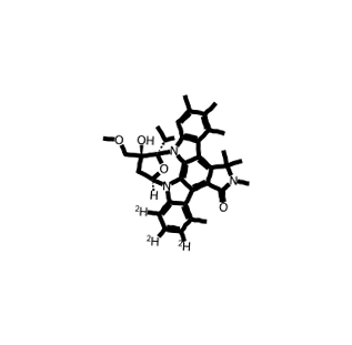 [2H]c1c([2H])c([2H])c2c(c1C)c1c3c(c4c5c(C)c(C)c(C)cc5n5c4c1n2[C@H]1C[C@](O)(COC)[C@]5(C(C)C)O1)C(C)(C)N(C)C3=O